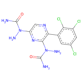 NC(=O)N(N)c1cnc(-c2cc(Cl)cc(Cl)c2Cl)c(N(N)C(N)=O)n1